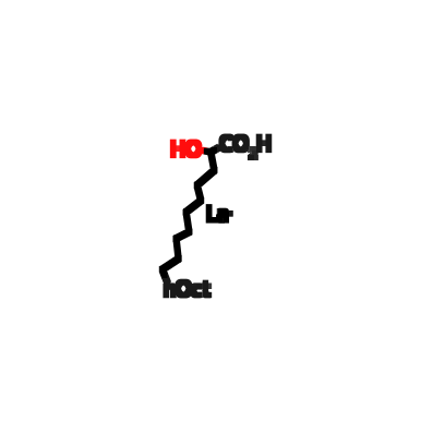 CCCCCCCCCCCCCCCCC(O)C(=O)O.[La]